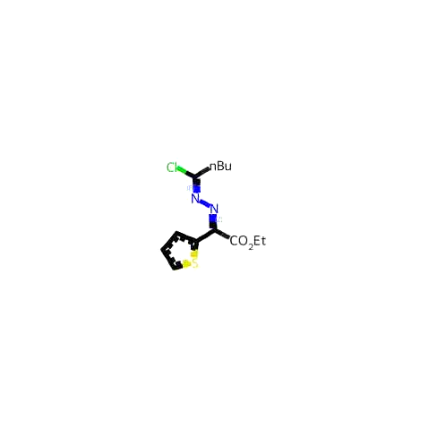 CCCC/C(Cl)=N\N=C(\C(=O)OCC)c1cccs1